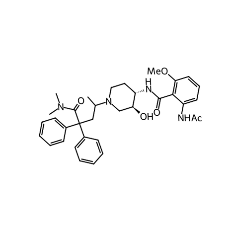 COc1cccc(NC(C)=O)c1C(=O)N[C@H]1CCN(C(C)CC(C(=O)N(C)C)(c2ccccc2)c2ccccc2)C[C@@H]1O